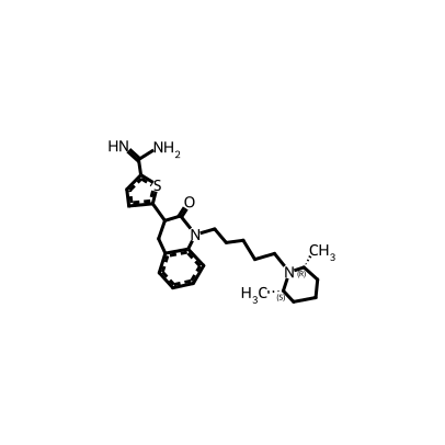 C[C@@H]1CCC[C@H](C)N1CCCCCN1C(=O)C(c2ccc(C(=N)N)s2)Cc2ccccc21